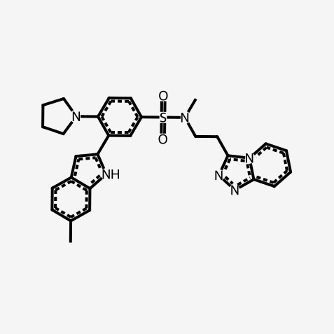 Cc1ccc2cc(-c3cc(S(=O)(=O)N(C)CCc4nnc5ccccn45)ccc3N3CCCC3)[nH]c2c1